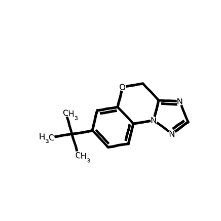 CC(C)(C)c1ccc2c(c1)OCc1ncnn1-2